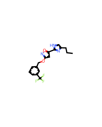 CCCc1c[nH]c(-c2cc(OCc3cccc(C(F)(F)F)c3)no2)n1